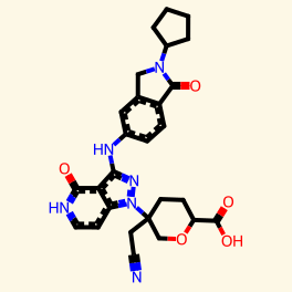 N#CCC1(n2nc(Nc3ccc4c(c3)CN(C3CCCC3)C4=O)c3c(=O)[nH]ccc32)CCC(C(=O)O)OC1